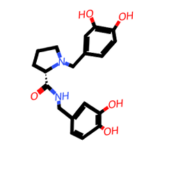 O=C(NCc1ccc(O)c(O)c1)[C@@H]1CCCN1Cc1ccc(O)c(O)c1